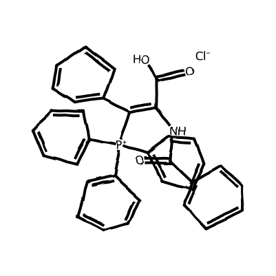 O=C(O)C(NC(=O)c1ccccc1)=C(c1ccccc1)[P+](c1ccccc1)(c1ccccc1)c1ccccc1.[Cl-]